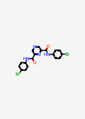 O=C(Nc1ccc(Br)cc1)c1cncc(C(=O)Nc2ccc(Br)cc2)n1